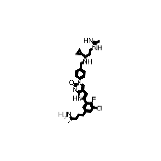 CC(=N)NCCC(NCc1ccc(-n2cc3cc(-c4cc(CCC[C@H](C)N)cc(Cl)c4F)[nH]c3nc2=O)cc1)C1CC1